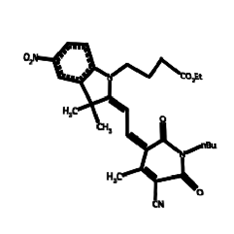 CCCCN1C(=O)C(C#N)=C(C)/C(=C/C=C2/N(CCCC(=O)OCC)c3ccc([N+](=O)[O-])cc3C2(C)C)C1=O